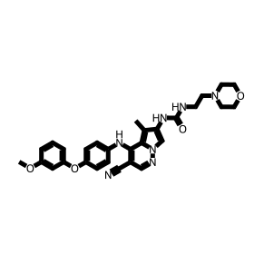 COc1cccc(Oc2ccc(Nc3c(C#N)cnn4cc(NC(=O)NCCN5CCOCC5)c(C)c34)cc2)c1